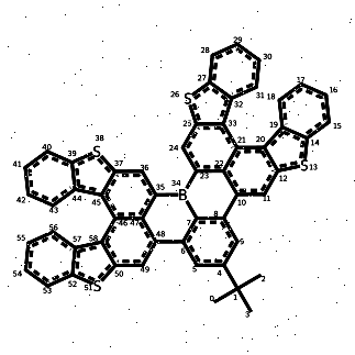 CC(C)(C)c1cc2c3c(c1)-c1cc4sc5ccccc5c4c4c1c(cc1sc5ccccc5c14)B3c1cc3sc4ccccc4c3c3c1c-2cc1sc2ccccc2c13